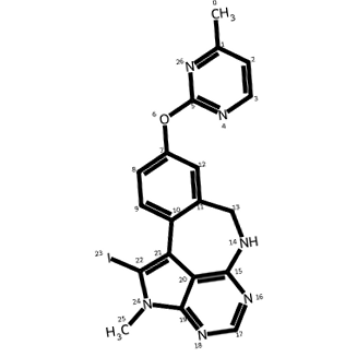 Cc1ccnc(Oc2ccc3c(c2)CNc2ncnc4c2c-3c(I)n4C)n1